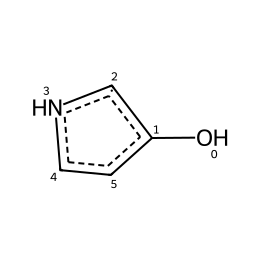 Oc1[c][nH]cc1